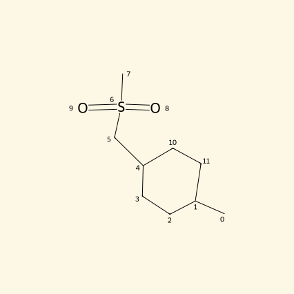 CC1CCC(CS(C)(=O)=O)CC1